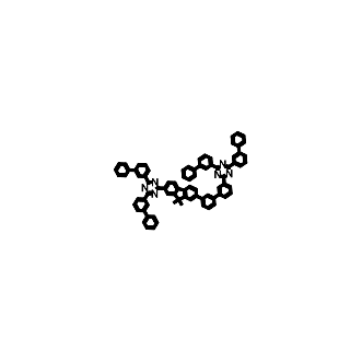 CC1(C)c2cc(-c3cccc(-c4cccc(-c5nc(-c6cccc(-c7ccccc7)c6)nc(-c6cccc(-c7ccccc7)c6)n5)c4)c3)ccc2-c2ccc(-c3nc(-c4cccc(-c5ccccc5)c4)nc(-c4cccc(-c5ccccc5)c4)n3)cc21